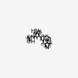 CCC1C=C(c2cc(NCC3(C=O)CC3)nc3[nH]ccc23)CC(CC)N1C(=O)c1ccncc1F